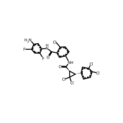 Nc1cc(NC(=O)c2cc(NC(=O)[C@H]3[C@H](c4ccc(Cl)c(Cl)c4)C3(Cl)Cl)ccc2Cl)c(F)cc1F